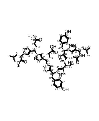 COC(=O)[C@H](CC(C)C)n1cc([C@H](CCC(N)=O)n2cc([C@H](CCC(=O)O)n3cc([C@H](Cc4ccc(O)cc4)n4cc([C@H](CS)n5cc([C@H](Cc6ccc(O)cc6)n6cc([C@H](CC(C)C)NC(C)=O)nn6)nn5)nn4)nn3)nn2)nn1